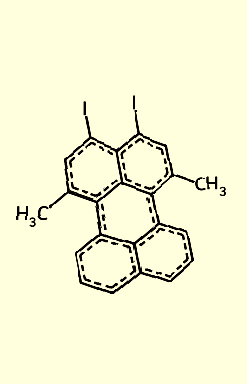 Cc1cc(I)c2c(I)cc(C)c3c4cccc5cccc(c1c23)c54